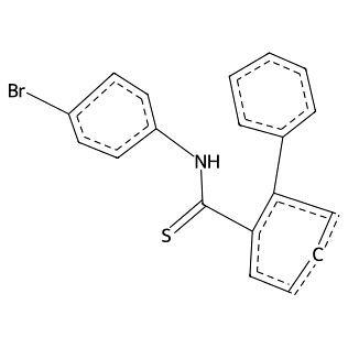 S=C(Nc1ccc(Br)cc1)c1ccccc1-c1ccccc1